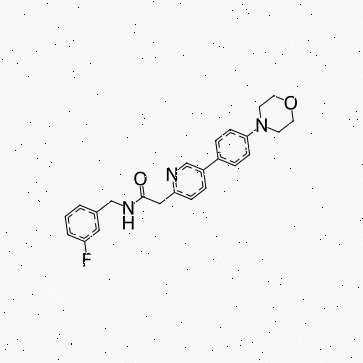 O=C(Cc1ccc(-c2ccc(N3CCOCC3)cc2)cn1)NCc1cccc(F)c1